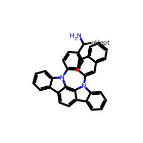 CCCCCCCC(N)c1ccc(-n2c3ccccc3c3ccc4c5ccccc5n(-c5ccc6ccccc6c5)c4c32)cc1